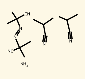 CC(C)(C#N)N=NC(C)(C)C#N.CC(C)C#N.CC(C)C#N.N